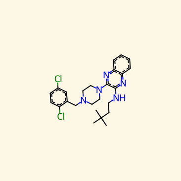 CC(C)(C)CCNc1nc2ccccc2nc1N1CCN(Cc2cc(Cl)ccc2Cl)CC1